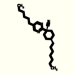 CCCCCCC[C@H]1CC[C@@](C#N)(c2ncc(CCCCCC)cn2)CC1